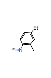 C=Nc1ccc(CC)cc1C